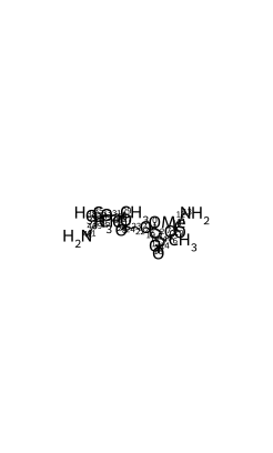 COc1cc2c(C(C)OC(=O)CCCN)cc(=O)oc2cc1OCCCC(=O)OC(C)(C)CCOC(C)(C)C(=O)CCCN